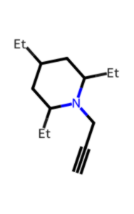 C#CCN1C(CC)CC(CC)CC1CC